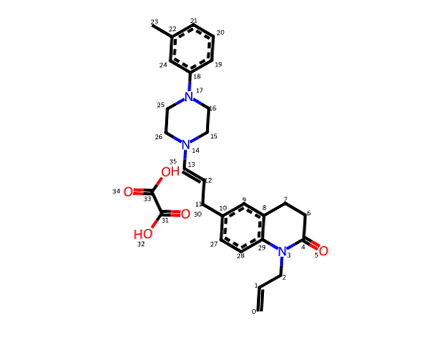 C=CCN1C(=O)CCc2cc(CC=CN3CCN(c4cccc(C)c4)CC3)ccc21.O=C(O)C(=O)O